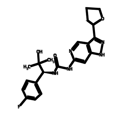 CC(C)(O)[C@@H](NC(=O)Nc1cc2[nH]nc(C3[CH]CCO3)c2cn1)c1ccc(F)cc1